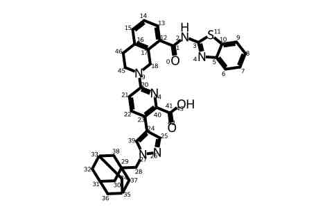 O=C(Nc1nc2ccccc2s1)c1cccc2c1CN(c1ccc(-c3cnn(CC45CC6CC(CC(C6)C4)C5)c3)c(C(=O)O)n1)CC2